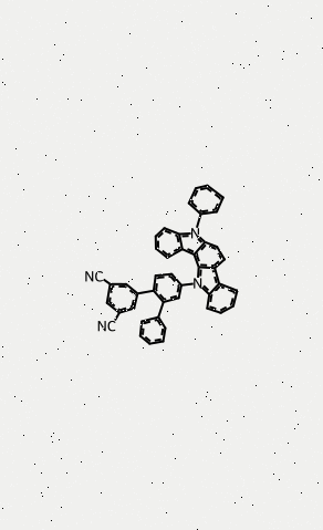 N#Cc1cc(C#N)cc(-c2ccc(-n3c4ccccc4c4ccc5c(c6ccccc6n5-c5ccccc5)c43)cc2-c2ccccc2)c1